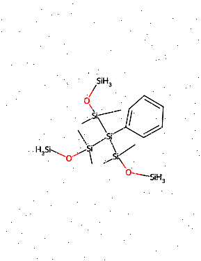 C[Si](C)(O[SiH3])[Si](c1ccccc1)([Si](C)(C)O[SiH3])[Si](C)(C)O[SiH3]